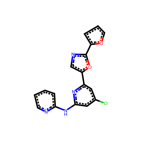 Clc1cc(Nc2ccccn2)nc(-c2cnc(-c3ccco3)o2)c1